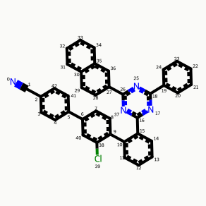 N#Cc1ccc(-c2ccc(-c3ccccc3-c3nc(-c4ccccc4)nc(-c4ccc5ccccc5c4)n3)c(Cl)c2)cc1